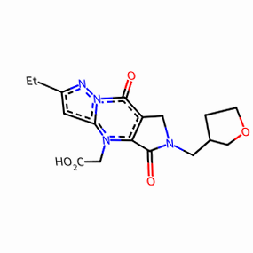 CCc1cc2n(CC(=O)O)c3c(c(=O)n2n1)CN(CC1CCOC1)C3=O